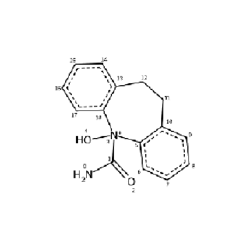 NC(=O)[N+]1(O)c2ccccc2CCc2ccccc21